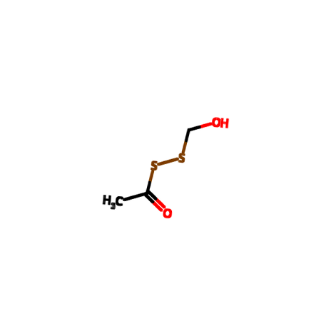 CC(=O)SSCO